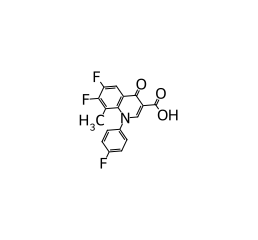 Cc1c(F)c(F)cc2c(=O)c(C(=O)O)cn(-c3ccc(F)cc3)c12